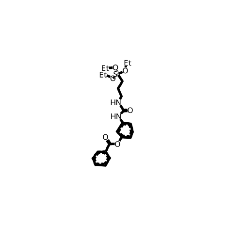 CCO[Si](CCCNC(=O)Nc1cccc(OC(=O)c2ccccc2)c1)(OCC)OCC